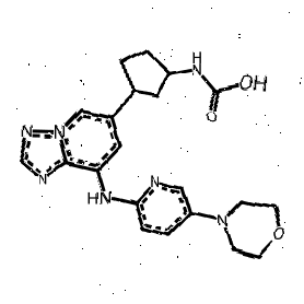 O=C(O)NC1CCC(c2cc(Nc3ccc(N4CCOCC4)cn3)c3ncnn3c2)C1